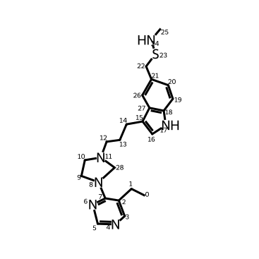 CCc1cncnc1N1CCN(CCCc2c[nH]c3ccc(CSNC)cc23)C1